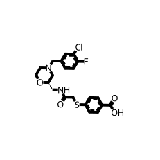 O=C(CSc1ccc(C(=O)O)cc1)NC[C@H]1CN(Cc2ccc(F)c(Cl)c2)CCO1